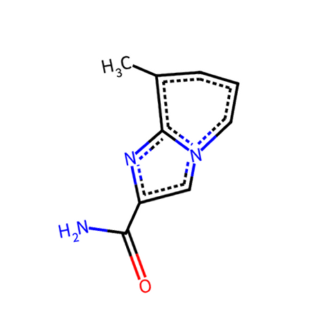 Cc1cccn2cc(C(N)=O)nc12